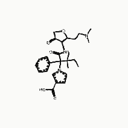 [CH2]CC(C)(C)C(C(=O)NC1C(=O)COC1CCN(C)C)(c1ccccc1)n1ccc(C(=O)O)c1